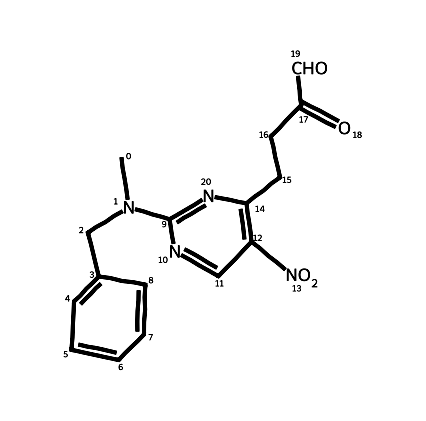 CN(Cc1ccccc1)c1ncc([N+](=O)[O-])c(CCC(=O)C=O)n1